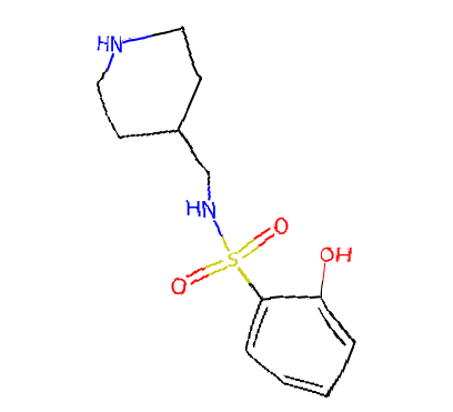 O=S(=O)(NCC1CCNCC1)c1ccccc1O